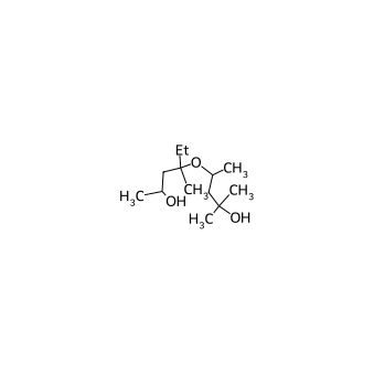 CCC(C)(CC(C)O)OC(C)CC(C)(C)O